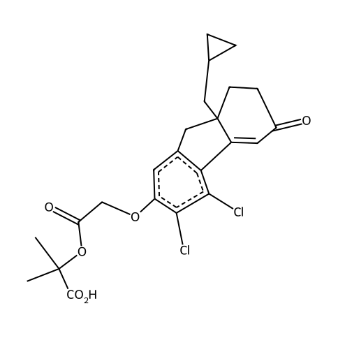 CC(C)(OC(=O)COc1cc2c(c(Cl)c1Cl)C1=CC(=O)CCC1(CC1CC1)C2)C(=O)O